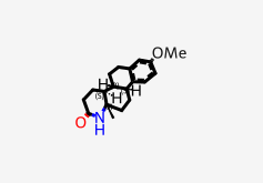 COc1ccc2c(c1)CC[C@@H]1[C@@H]2CC[C@]2(C)NC(=O)CC[C@@H]12